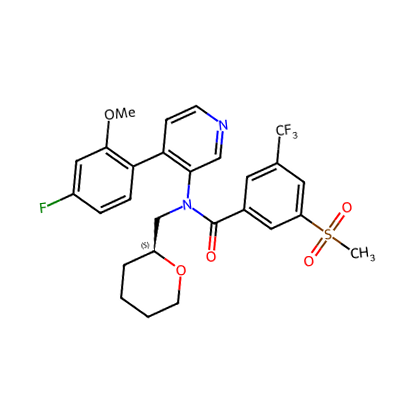 COc1cc(F)ccc1-c1ccncc1N(C[C@@H]1CCCCO1)C(=O)c1cc(C(F)(F)F)cc(S(C)(=O)=O)c1